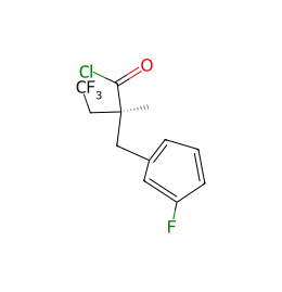 C[C@](Cc1cccc(F)c1)(CC(F)(F)F)C(=O)Cl